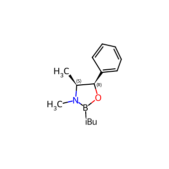 CCC(C)B1O[C@H](c2ccccc2)[C@H](C)N1C